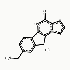 Cl.NCc1ccc2c(c1)Cc1c-2[nH]c(=O)c2nccn12